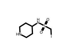 O=S(=O)(CI)NC1CCNCC1